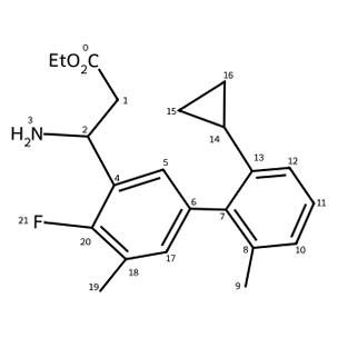 CCOC(=O)CC(N)c1cc(-c2c(C)cccc2C2CC2)cc(C)c1F